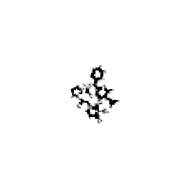 CCn1c(=O)ccn(CC(=O)N2CCC[C@H]2C(=O)N[C@@H](c2ccccc2)c2ccc(C3CC3)c(F)n2)c1=O